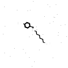 Cc1ccc(C(=O)NCCCCCCN)cc1